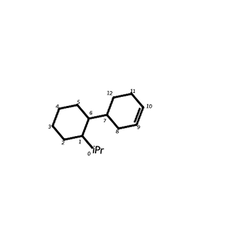 CC(C)C1CCCCC1C1CC=CCC1